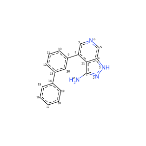 Nc1n[nH]c2cncc(-c3cccc(-c4ccccc4)c3)c12